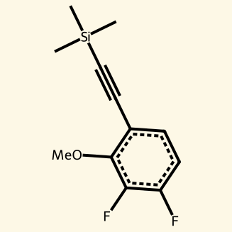 COc1c(C#C[Si](C)(C)C)ccc(F)c1F